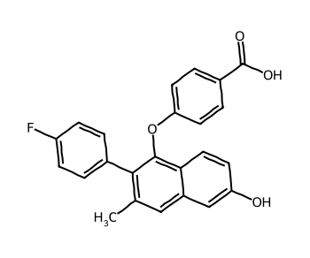 Cc1cc2cc(O)ccc2c(Oc2ccc(C(=O)O)cc2)c1-c1ccc(F)cc1